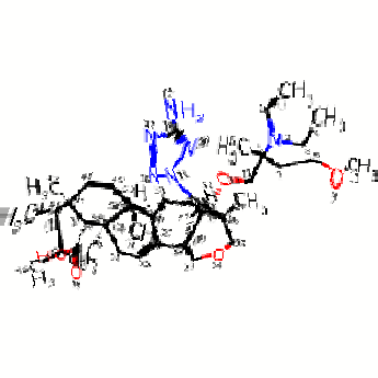 CCN(CC)C(C)(CCOC)CO[C@H]1[C@H](n2nnc(N)n2)C[C@@]23COC[C@]1(C)[C@@H]2CC[C@H]1C3=CC[C@@]2(C)[C@H](C(=O)O)[C@@](C)([C@H](C)C(C)C)CC[C@]12C